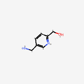 [NH]Cc1ccc(CO)nc1